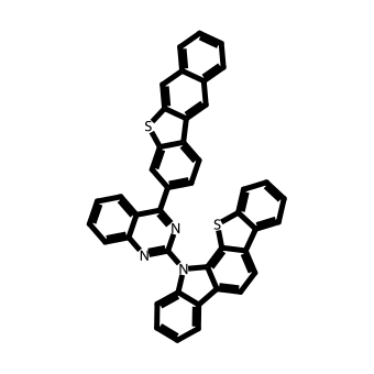 c1ccc2cc3c(cc2c1)sc1cc(-c2nc(-n4c5ccccc5c5ccc6c7ccccc7sc6c54)nc4ccccc24)ccc13